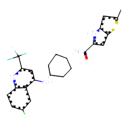 Cc1cc2[nH]c(C(=O)N[C@H]3CC[C@@H](Nc4cc(C(F)(F)F)nc5ccc(Cl)cc45)CC3)cc2s1